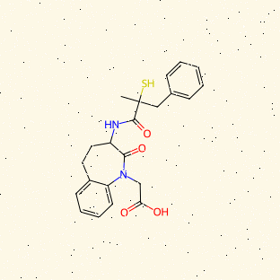 CC(S)(Cc1ccccc1)C(=O)NC1CCc2ccccc2N(CC(=O)O)C1=O